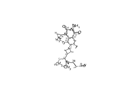 CCC(C1CN(c2c(F)cc3c(=O)n(N)c(=O)n(C4CC4)c3c2OC)C1)N(C)CCC#N